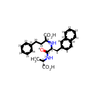 C[C@H](NC(=O)[C@H](Cc1ccc2ccccc2c1)NC(CCc1ccccc1)C(=O)O)C(=O)O